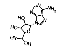 CCC[C@H](O)[C@H]1O[C@@H](n2cnc3c(N)ncnc32)[C@H](O)[C@@H]1O